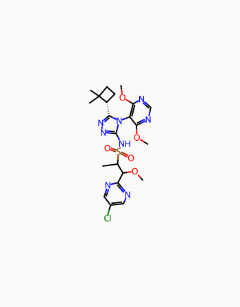 COc1ncnc(OC)c1-n1c(NS(=O)(=O)C(C)C(OC)c2ncc(Cl)cn2)nnc1[C@H]1CCC1(C)C